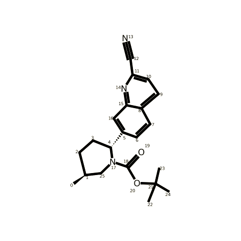 C[C@H]1CC[C@H](c2ccc3ccc(C#N)nc3c2)N(C(=O)OC(C)(C)C)C1